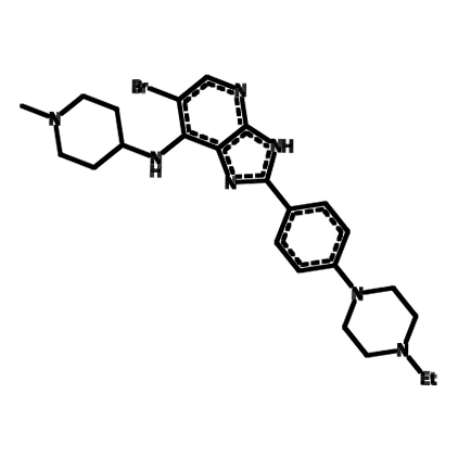 CCN1CCN(c2ccc(-c3nc4c(NC5CCN(C)CC5)c(Br)cnc4[nH]3)cc2)CC1